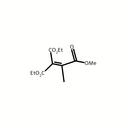 CCOC(=O)C(C(=O)OCC)=C(C)C(=O)OC